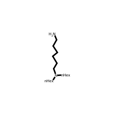 CCCCCCN(CCCCCC)CCCCCCN